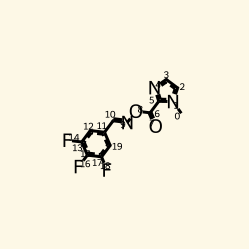 Cn1ccnc1C(=O)ON=Cc1cc(F)c(F)c(F)c1